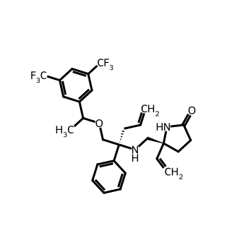 C=CC[C@](COC(C)c1cc(C(F)(F)F)cc(C(F)(F)F)c1)(NC[C@]1(C=C)CCC(=O)N1)c1ccccc1